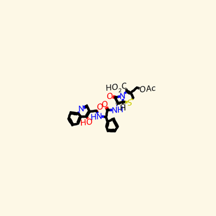 CC(=O)OCC1=C(C(=O)O)N2C(=O)[C@@H](NC(=O)C(NC(=O)c3cnc4ccccc4c3O)c3ccccc3)[C@H]2SC1